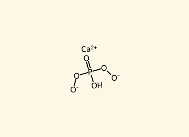 O=P(O)(O[O-])O[O-].[Ca+2]